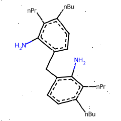 CCCCc1ccc(Cc2ccc(CCCC)c(CCC)c2N)c(N)c1CCC